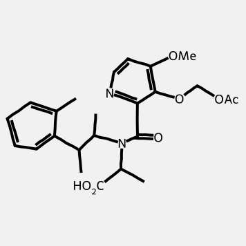 COc1ccnc(C(=O)N(C(C)C(=O)O)C(C)C(C)c2ccccc2C)c1OCOC(C)=O